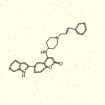 O=c1cc(NC2CCN(C/C=C/c3ccccc3)CC2)c2cc(-c3cc4ccccc4[nH]3)ccc2o1